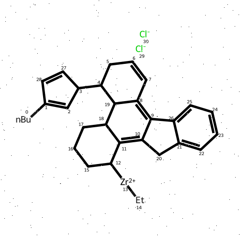 CCCCC1=CC(C2CC=CC3=C4C(=C5[CH]([Zr+2][CH2]C)CCCC5C32)Cc2ccccc24)C=C1.[Cl-].[Cl-]